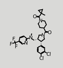 CN(C[C@@H]1CN(C(=O)C2CCN(C(=O)C3(C)CC3)CC2)C[C@@H]1c1ccc(Cl)c(Cl)c1)c1ccc(C(F)(F)F)cn1